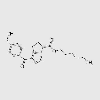 CCCCCCOC(=O)C1CCn2c(C(=O)c3ccc(CC)cc3)ccc21